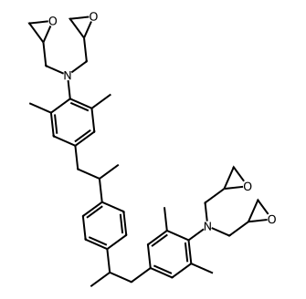 Cc1cc(CC(C)c2ccc(C(C)Cc3cc(C)c(N(CC4CO4)CC4CO4)c(C)c3)cc2)cc(C)c1N(CC1CO1)CC1CO1